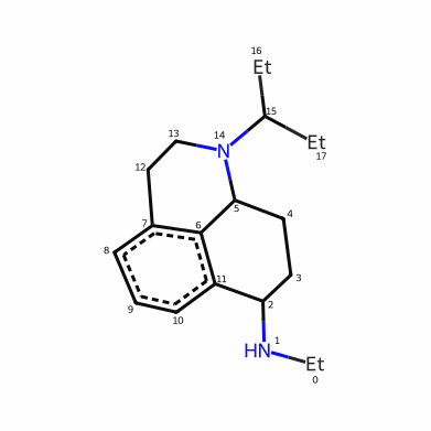 CCNC1CCC2c3c(cccc31)CCN2C(CC)CC